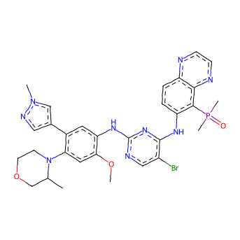 COc1cc(N2CCOCC2C)c(-c2cnn(C)c2)cc1Nc1ncc(Br)c(Nc2ccc3nccnc3c2P(C)(C)=O)n1